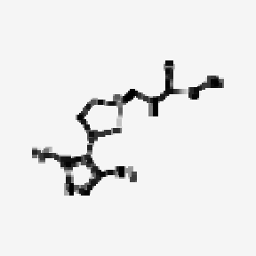 Cn1ncc(N)c1N1CC[C@@H](CNC(=O)OC(C)(C)C)C1